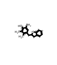 Bc1cc(CC2Cc3ccccc3S2)c(C)c(C)c1O